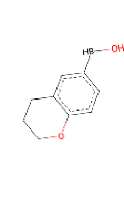 OBc1ccc2c(c1)CCCO2